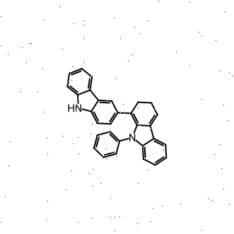 C1=c2c(n(-c3ccccc3)c3ccccc23)=C(c2ccc3[nH]c4ccccc4c3c2)CC1